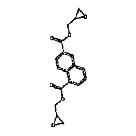 O=C(OCC1CO1)c1ccc2c(C(=O)OCC3CO3)cccc2c1